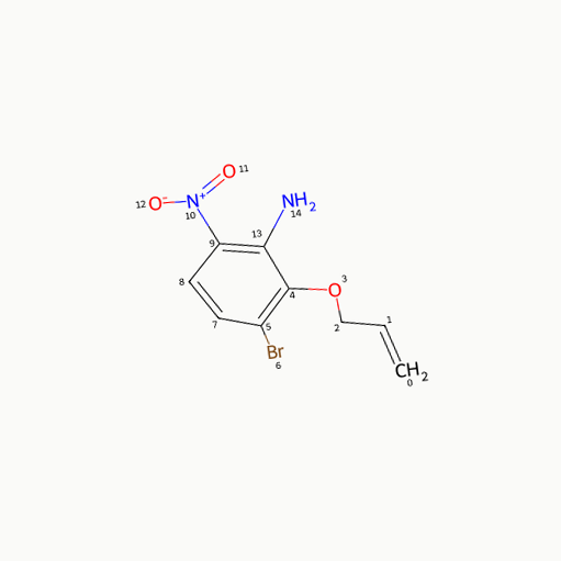 C=CCOc1c(Br)ccc([N+](=O)[O-])c1N